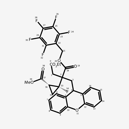 CCOC(=O)CC(CC1c2ccccc2Oc2ccccc21)(C(=O)OCc1c(F)c(F)c(F)c(F)c1F)[C@@]1(F)C[C@@H]1C(=O)OC